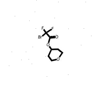 O=C(OC1CCOCC1)C(F)(F)Br